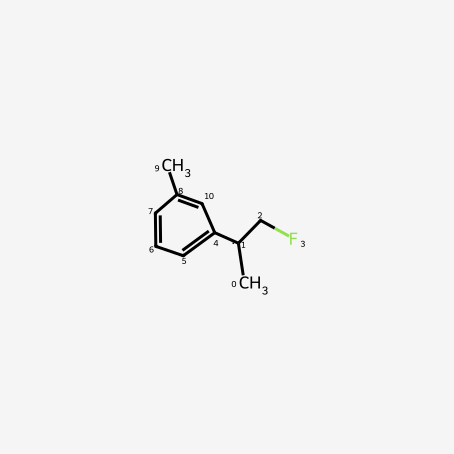 C[C](CF)c1cccc(C)c1